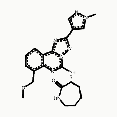 COCc1cccc2c1nc(N[C@@H]1CCCCNC1=O)n1nc(-c3cnn(C)c3)nc21